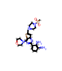 CS(=O)(=O)N1CCN(Cc2cc3nc(-c4cccc(N)c4N)nc(N4CCOCC4)c3s2)CC1